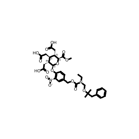 CCN(COC(C)(C)Cc1ccccc1)C(=O)OCc1ccc(O[C@@H]2O[C@H](C(=O)OC)[C@@H](CC(=O)O)[C@H](CC(=O)O)[C@H]2CC(=O)O)c([N+](=O)[O-])c1